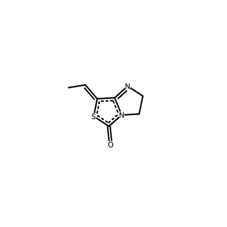 C/C=c1\sc(=O)n2c1=NCC2